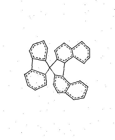 c1ccc2c(c1)-c1ccccc1C21c2ccc3ccccc3c2-c2c1ccc1ccccc21